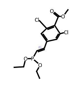 CCOP(/C=C/c1cc(Cl)c(C(=O)OC)c(Cl)c1)OCC